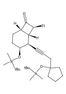 CC[C@@H]1C(=O)[C@H]2CC[C@H](O[Si](C)(C)C(C)(C)C)[C@H](C#CCC3(O[Si](C)(C)C(C)(C)C)CCCC3)[C@@H]12